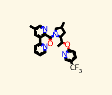 Cc1cnc(C(=O)N2CC(C)CC2C(C)Oc2ccc(C(F)(F)F)cn2)c(-c2ccccn2)c1